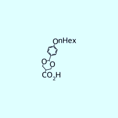 CCCCCCOc1ccc(C2OCC(C(=O)O)CO2)cc1